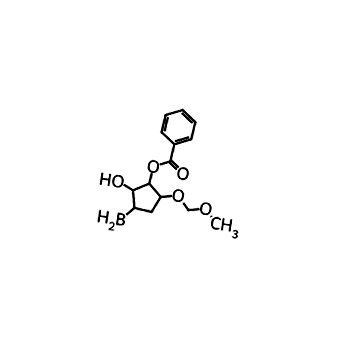 BC1CC(OCOC)C(OC(=O)c2ccccc2)C1O